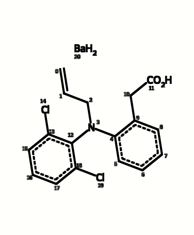 C=CCN(c1ccccc1CC(=O)O)c1c(Cl)cccc1Cl.[BaH2]